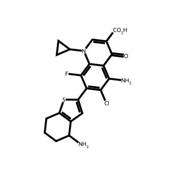 Nc1c(Cl)c(-c2cc3c(s2)CCCC3N)c(F)c2c1c(=O)c(C(=O)O)cn2C1CC1